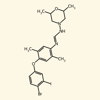 Cc1cc(Oc2ccc(Br)c(I)c2)c(C)cc1N=CNN1CC(C)OC(C)C1